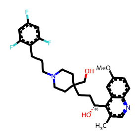 COc1ccc2ncc(C)c([C@H](O)CCC3(CO)CCN(CCCc4c(F)cc(F)cc4F)CC3)c2c1